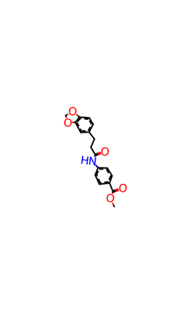 COC(=O)c1ccc(NC(=O)CCc2ccc3c(c2)OCO3)cc1